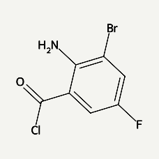 Nc1c(Br)cc(F)cc1C(=O)Cl